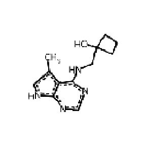 Cc1c[nH]c2ncnc(NCC3(O)CCC3)c12